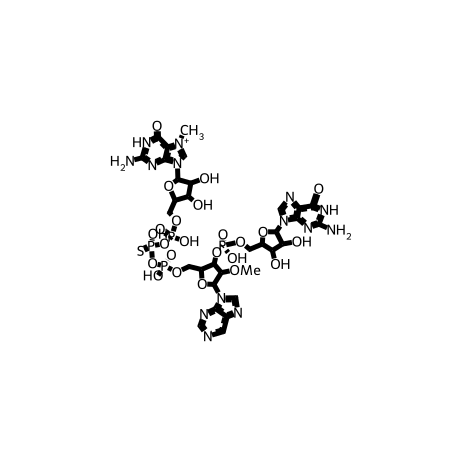 COC1C(OP(=O)(O)OCC2OC(n3cnc4c(=O)[nH]c(N)nc43)C(O)C2O)C(COP(=O)(O)OP(O)(=S)OP(=O)(O)OCC2OC(n3c[n+](C)c4c(=O)[nH]c(N)nc43)C(O)C2O)OC1n1cnc2cncnc21